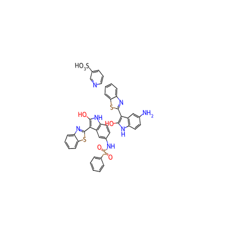 Nc1ccc2[nH]c(O)c(-c3nc4ccccc4s3)c2c1.O=S(=O)(Nc1ccc2[nH]c(O)c(-c3nc4ccccc4s3)c2c1)c1ccccc1.O=S(=O)(O)c1cccnc1